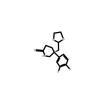 O=C1CC[C@](CC2OCCO2)(c2ccc(F)c(F)c2)CN1